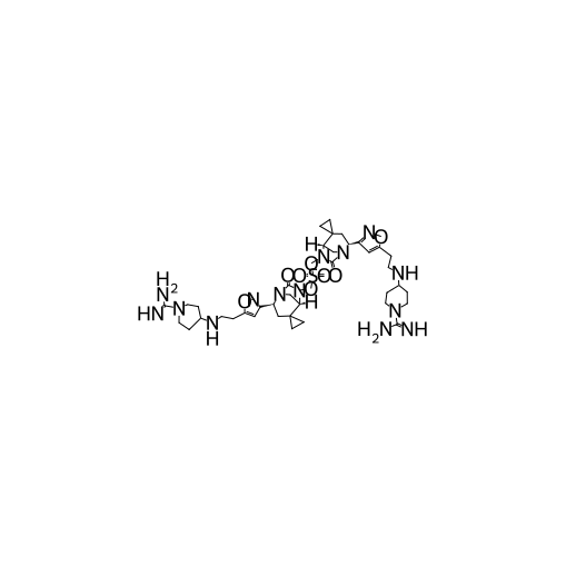 N=C(N)N1CCC(NCCc2cc([C@@H]3CC4(CC4)[C@@H]4CN3C(=O)N4OS(=O)(=O)ON3C(=O)N4C[C@H]3C3(CC3)C[C@H]4c3cc(CCNC4CCN(C(=N)N)CC4)on3)no2)CC1